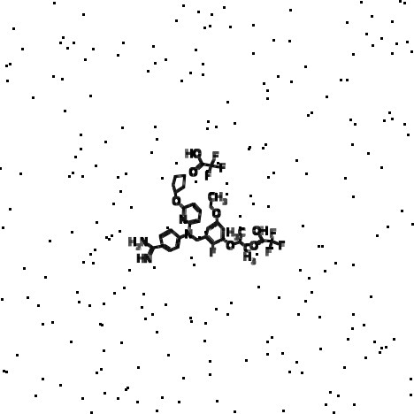 CCOc1cc(CN(c2ccc(C(=N)N)cc2)c2cccc(OC3CCCC3)n2)c(F)c(OC(C)C)c1.O=C(O)C(F)(F)F.O=C(O)C(F)(F)F